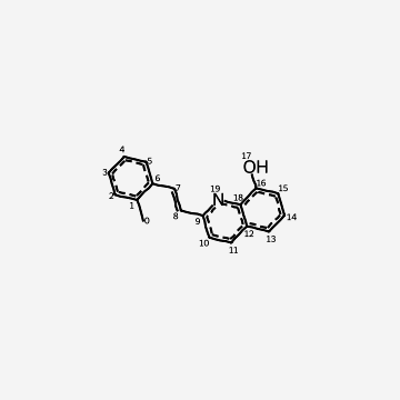 Cc1ccccc1C=Cc1ccc2cccc(O)c2n1